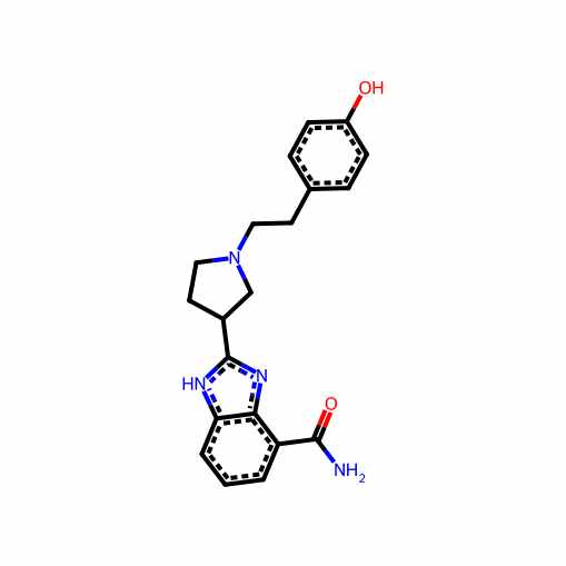 NC(=O)c1cccc2[nH]c(C3CCN(CCc4ccc(O)cc4)C3)nc12